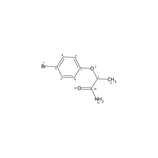 CC(Oc1ccc(Br)cc1)C(N)=O